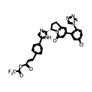 O=C(/C=C/c1ccc(-c2cnc([C@@H]3CCc4cc(-c5cc(Cl)ccc5-n5cnnn5)cc(=O)n43)[nH]2)cc1)OC(=O)C(F)(F)F